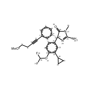 COCCC#Cc1cccc([C@@]2(c3ccc(OC(F)F)c(C4CC4)c3)N=C(N)N(C)C2=O)c1